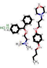 CCCCOc1ccc(OCCCN2CCOCC2)cc1.CN(C)CCOC(c1ccccc1)c1ccccc1.Cl.Cl